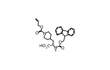 C=CCOC(=O)N1CCC(C[C@H](C(=O)O)N(C)C(=O)OCC2c3ccccc3-c3ccccc32)CC1